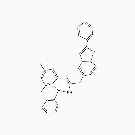 Cc1cc(Cl)ccc1C(NC(=O)Cc1ccc2oc(-c3cccnc3)cc2c1)c1ccccc1